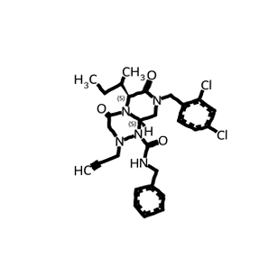 C#CCN1CC(=O)N2[C@@H](C(C)CC)C(=O)N(Cc3ccc(Cl)cc3Cl)C[C@@H]2N1C(=O)NCc1ccccc1